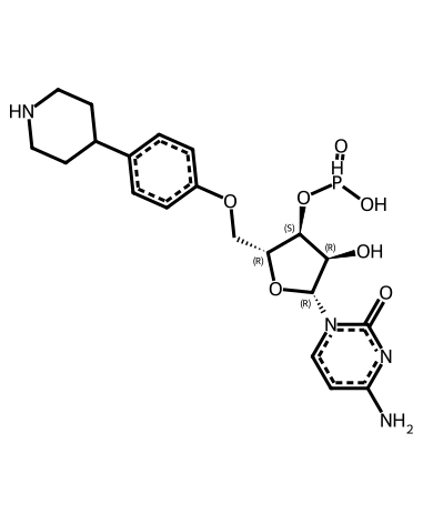 Nc1ccn([C@@H]2O[C@H](COc3ccc(C4CCNCC4)cc3)[C@@H](O[PH](=O)O)[C@H]2O)c(=O)n1